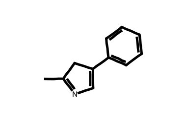 CC1=NC=C(c2ccccc2)C1